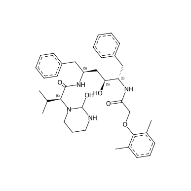 Cc1cccc(C)c1OCC(=O)N[C@@H](Cc1ccccc1)[C@@H](O)C[C@H](Cc1ccccc1)NC(=O)[C@H](C(C)C)N1CCCNC1O